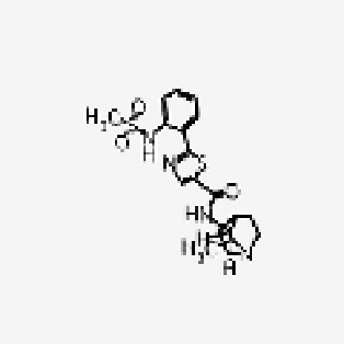 C[C@H]1[C@H](NC(=O)c2cnc(-c3ccccc3NS(C)(=O)=O)s2)C2CCN1CC2